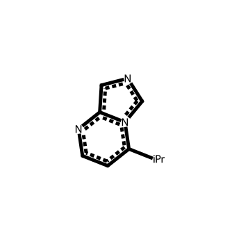 CC(C)c1ccnc2cncn12